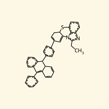 CCc1nc2cccc3c2n1C1=CC(c2ccc(C4c5ccccc5C(c5ccccc5)=C5C=CC=CC54)cc2)=CCC1S3